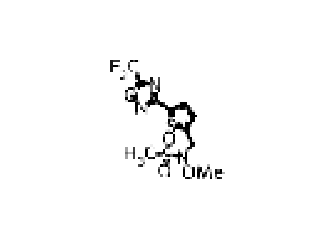 CON(Cc1ccc(-c2noc(C(F)(F)F)n2)s1)S(C)(=O)=O